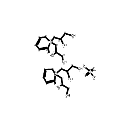 CC1=CC=CC[N+]1(CC(O)CO)CC(O)CO.CC1=CC=CC[N+]1(CC(O)CO)CC(O)CO.O=S(=O)([O-])[O-]